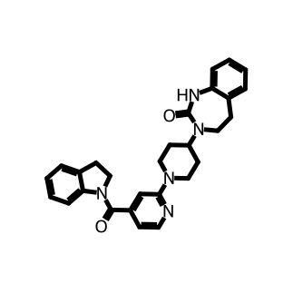 O=C(c1ccnc(N2CCC(N3CCc4ccccc4NC3=O)CC2)c1)N1CCc2ccccc21